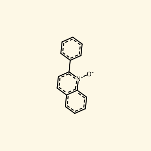 [O-][n+]1c(-c2ccccc2)ccc2ccccc21